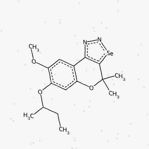 CCC(C)Oc1cc2c(cc1OC)-c1nn[se]c1C(C)(C)O2